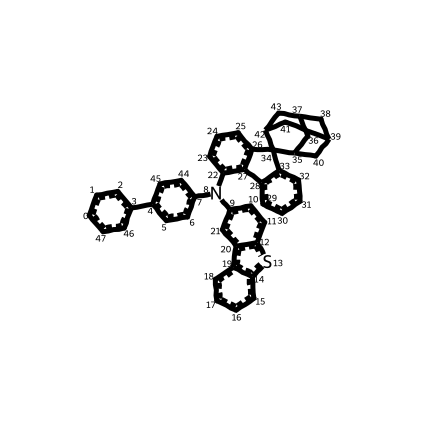 c1ccc(-c2ccc(N(c3ccc4sc5ccccc5c4c3)c3cccc4c3-c3ccccc3C43C4CC5CC(C4)CC3C5)cc2)cc1